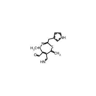 C=C1SC(Cc2cc[nH]c2)=NN(C)C(C=O)=C1C=N